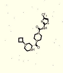 O=C(Nc1nc(C(F)(F)F)cs1)N1CCN(C(=O)[C@H]2CN(C3CCC3)CCN2)CC1